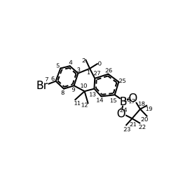 CC1(C)c2ccc(Br)cc2C(C)(C)c2cc(B3OC(C)(C)C(C)(C)O3)ccc21